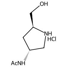 CC(=O)N[C@H]1CN[C@H](CO)C1.Cl